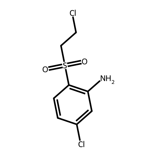 Nc1cc(Cl)ccc1S(=O)(=O)CCCl